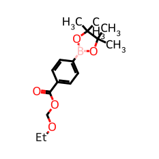 CCOCOC(=O)c1ccc(B2OC(C)(C)C(C)(C)O2)cc1